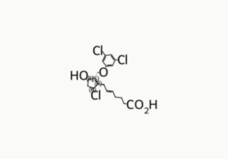 O=C(O)CCCC=CC[C@@H]1[C@@H](COc2cc(Cl)cc(Cl)c2)[C@H](O)C[C@H]1Cl